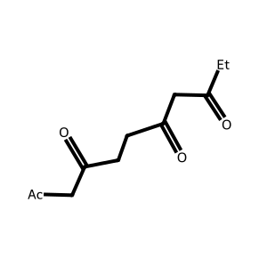 CCC(=O)CC(=O)CCC(=O)CC(C)=O